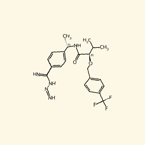 CC(C)[C@@H](OCc1ccc(C(F)(F)F)cc1)C(=O)N[C@@H](C)c1ccc(C(=N)NN=N)cc1